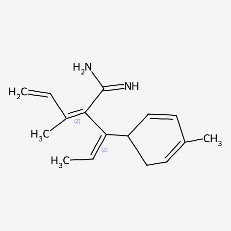 C=C/C(C)=C(C(=N)N)/C(=C\C)C1C=CC(C)=CC1